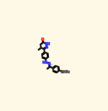 CC(=O)Nc1ccc(/C(C)=N/Nc2ccc(C3=NNC(=O)CC3C)cc2)cc1